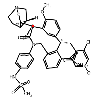 COc1ccc([C@H](Cc2c(Cl)c[n+]([O-])cc2Cl)c2c(CN(C(=O)O[C@H]3CN4CCC3CC4)c3ccc(NS(C)(=O)=O)cc3)cccc2C(=O)O)cc1OC